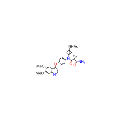 COc1cc2nccc(Oc3ccc(N(C(=O)C4(C(N)=O)CC4)C45CC(NC(C)=O)(C4)C5)cc3)c2cc1OC